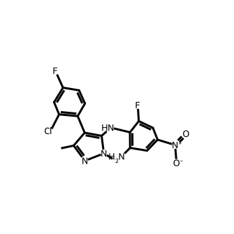 Cc1nn(C)c(Nc2c(N)cc([N+](=O)[O-])cc2F)c1-c1ccc(F)cc1Cl